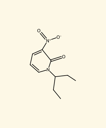 CCC(CC)n1cccc([N+](=O)[O-])c1=O